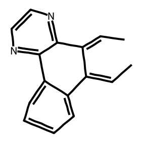 C/C=c1\c(=C/C)c2nccnc2c2ccccc12